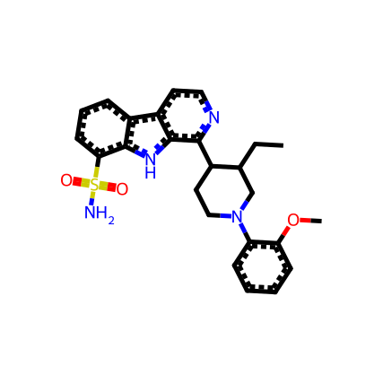 CCC1CN(c2ccccc2OC)CCC1c1nccc2c1[nH]c1c(S(N)(=O)=O)cccc12